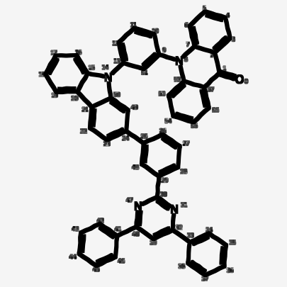 O=c1c2ccccc2n(-c2cccc(-n3c4ccccc4c4ccc(-c5cccc(-c6nc(-c7ccccc7)cc(-c7ccccc7)n6)c5)cc43)c2)c2ccccc12